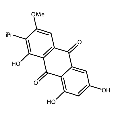 COc1cc2c(c(O)c1C(C)C)C(=O)c1c(O)cc(O)cc1C2=O